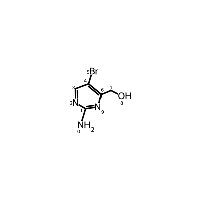 Nc1ncc(Br)c(CO)n1